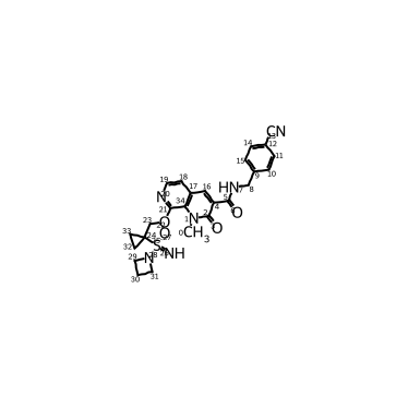 Cn1c(=O)c(C(=O)NCc2ccc(C#N)cc2)cc2ccnc(OCC3(S(=N)(=O)N4CCC4)CC3)c21